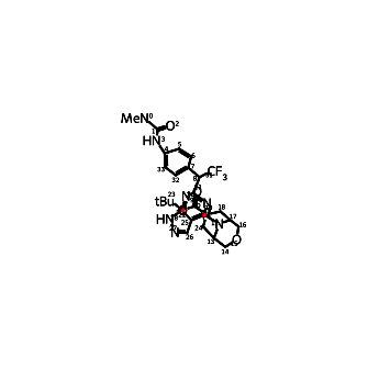 CNC(=O)Nc1ccc(C(c2nc(N3C4COCC3CN(C(=O)OC(C)(C)C)C4)c3cn[nH]c3n2)C(F)(F)F)cc1